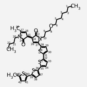 CCCCCCCOCCCN1C(=O)/C(=C2\C=C(C)N(CCCC)C2=O)C=C1c1ccc(-c2ccc(-c3ccc(-c4ccc(C)s4)s3)s2)s1